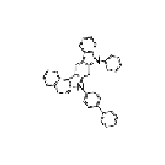 c1ccc(-c2ccc(-n3c4cc5c(cc4c4c6ccccc6ccc43)c3ccccc3n5-c3ccccc3)cc2)cc1